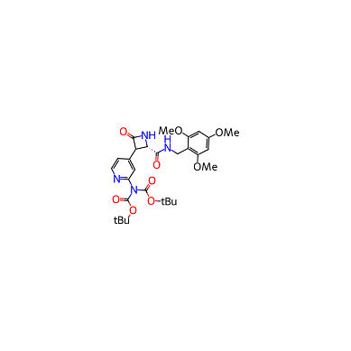 COc1cc(OC)c(CNC(=O)[C@H]2NC(=O)C2c2ccnc(N(C(=O)OC(C)(C)C)C(=O)OC(C)(C)C)c2)c(OC)c1